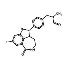 CN(C=O)Cc1ccc(C2Nc3cc(F)cc4c3C2CCNC4=O)cc1